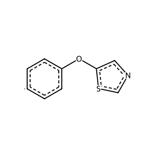 [c]1ccc(Oc2cncs2)cc1